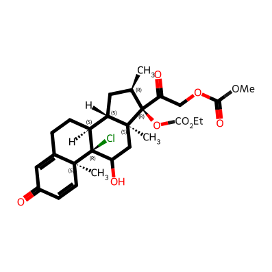 CCOC(=O)O[C@]1(C(=O)COC(=O)OC)[C@H](C)C[C@H]2[C@@H]3CCC4=CC(=O)C=C[C@]4(C)[C@@]3(Cl)C(O)C[C@@]21C